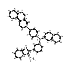 Cc1c(-c2cccc(N(c3ccc(-c4ccc5c(ccc6ccccc65)c4)cc3)c3ccc4ccccc4c3)c2)oc2ccccc12